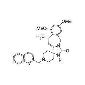 CCN1C(=O)N2Cc3cc(OC)cc(OC)c3[C@@H](C)C=C2C12CCN(Cc1ccc3ccccc3n1)CC2